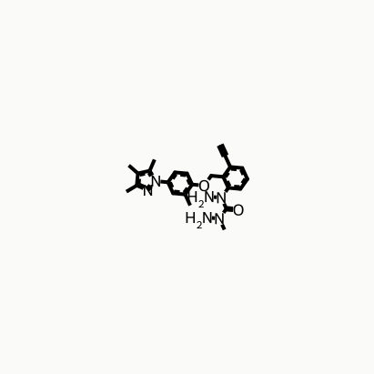 C#Cc1cccc(N(N)C(=O)N(C)N)c1COc1ccc(-n2nc(C)c(C)c2C)cc1C